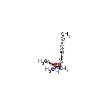 CCCCCCCCCCCCCCCCCCCCCCC(C)C(O)NC(CC)C(O)CCCCCCC